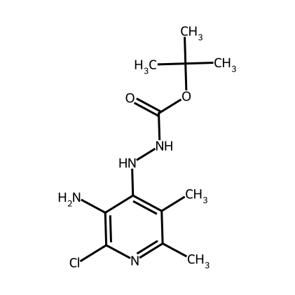 Cc1nc(Cl)c(N)c(NNC(=O)OC(C)(C)C)c1C